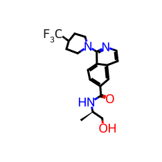 C[C@H](CO)NC(=O)c1ccc2c(N3CCC(C(F)(F)F)CC3)nccc2c1